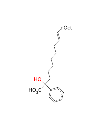 CCCCCCCCC=CCCCCCCC(O)(C(=O)O)c1ccccc1